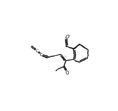 C=C=C=C/C=C(\C(C)=O)C1=C(C=O)CCC=C1